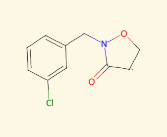 O=C1[CH]CON1Cc1cccc(Cl)c1